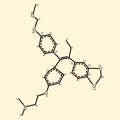 CC/C(=C(/c1ccc(OCCN(C)C)cc1)c1ccc(OCOC)cc1)c1ccc2c(c1)OCO2